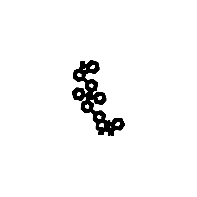 c1ccc([Si](c2ccccc2)(c2cccc(-c3ccc4c(c3)CSc3nc5ccccc5n3-4)c2)c2cccc(-c3cccc4sc5ccccc5c34)c2)cc1